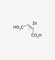 O=C(O)/C=C\C(=O)O.[Zn]